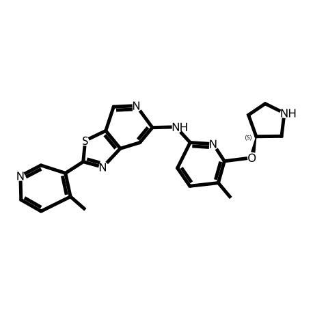 Cc1ccncc1-c1nc2cc(Nc3ccc(C)c(O[C@H]4CCNC4)n3)ncc2s1